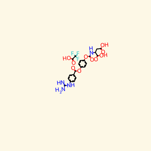 N=C(N)Nc1ccc(C(=O)Oc2ccc(OC(=O)NC(CC(=O)O)C(=O)O)cc2)cc1.O=C(O)C(F)(F)F